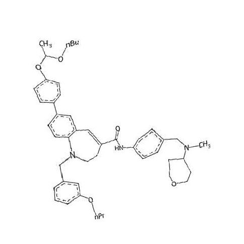 CCCCOC(C)Oc1ccc(-c2ccc3c(c2)C=C(C(=O)Nc2ccc(CN(C)C4CCOCC4)cc2)CCN3Cc2cccc(OCCC)c2)cc1